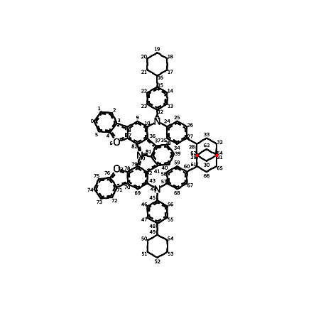 c1ccc2c(c1)oc1c2cc(N(c2ccc(C3CCCCC3)cc2)c2ccc(C3CCCCC3)cc2)c2c3cccc4c5c(N(c6ccc(C7CCCCC7)cc6)c6ccc(C7CCCCC7)cc6)cc6c7ccccc7oc6c5n(c34)c12